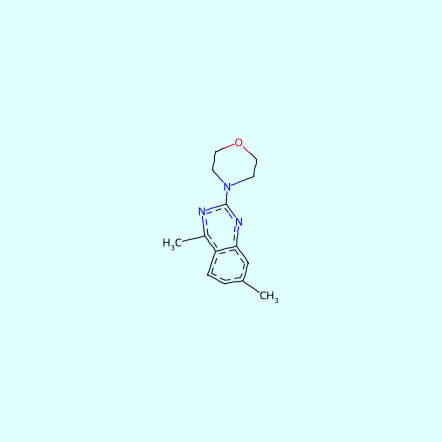 Cc1ccc2c(C)nc(N3CCOCC3)nc2c1